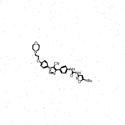 CC(C)(C)c1cc(NC(=O)Nc2ccc(-c3nnn(-c4ccc(OCCN5CCOCC5)cc4)c3C#N)cc2)no1